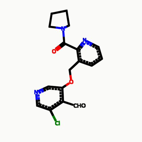 O=Cc1c(Cl)cncc1OCc1cccnc1C(=O)N1CCCC1